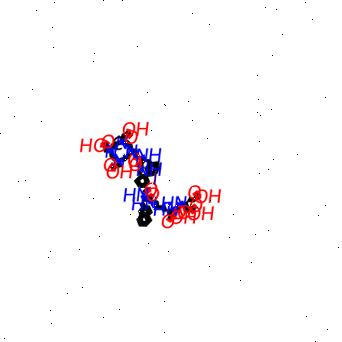 O=C(O)CC[C@H](NC(=O)N[C@@H](CCCCNC(=O)[C@H](Cc1ccc2ccccc2c1)NC(=O)[C@H]1CC[C@H](CNC(=O)[C@H](Cc2ccc(I)cc2)NC(=O)CN2CCN(CC(=O)O)CCN(CC(=O)O)CCN(CC(=O)O)CC2)CC1)C(=O)O)C(=O)C(=O)O